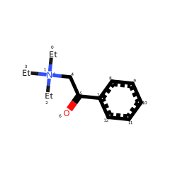 CC[N+](CC)(CC)CC(=O)c1ccccc1